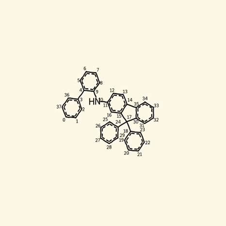 c1ccc(-c2ccccc2Nc2ccc3c(c2)C(c2ccccc2)(c2ccccc2)c2ccccc2-3)cc1